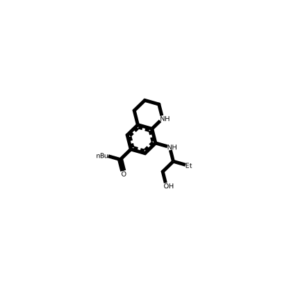 CCCCC(=O)c1cc2c(c(NC(CC)CO)c1)NCCC2